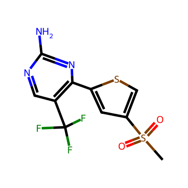 CS(=O)(=O)c1csc(-c2nc(N)ncc2C(F)(F)F)c1